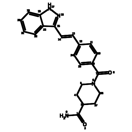 NC(=O)C1CCN(C(=O)c2ccc(C=Cc3n[nH]c4ccccc34)cc2)CC1